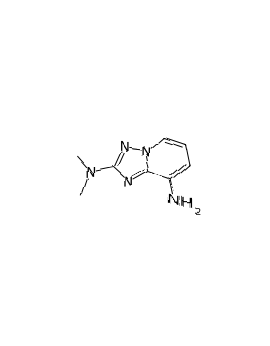 CN(C)c1nc2c(N)cccn2n1